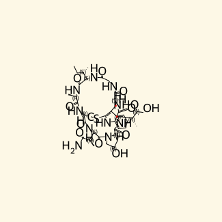 CC[C@H](C)[C@@H]1NC(=O)CNC(=O)[C@@H]2Cc3c([nH]c4ccccc34)SC[C@H](NC(=O)[C@@H](C)NC1=O)C(=O)N[C@@H]([C@@H](C)C(N)=O)C(=O)N1C[C@H](O)C[C@H]1C(=O)N[C@@H]([C@@H](C)[C@@H](O)CO)C(=O)N2